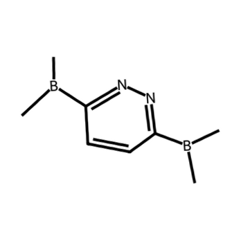 CB(C)c1ccc(B(C)C)nn1